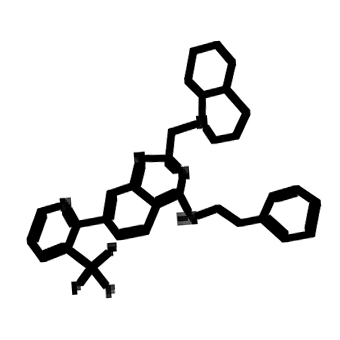 FC(F)(F)c1cccnc1-c1ccc2c(NCCc3ccccc3)nc(CN3CCCC4CCCCC43)nc2c1